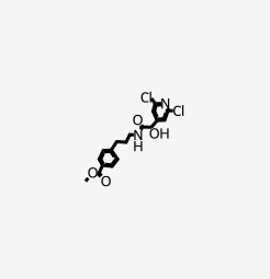 COC(=O)c1ccc(CCCNC(=O)C(O)c2cc(Cl)nc(Cl)c2)cc1